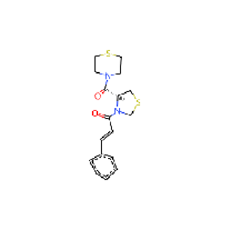 O=C([C@@H]1CSCN1C(=O)C=Cc1ccccc1)N1CCSCC1